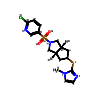 Cn1ccnc1S[C@H]1C[C@@H]2CN(S(=O)(=O)c3ccc(Cl)nc3)C[C@@H]2C1